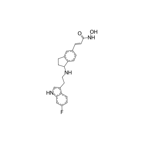 O=C(/C=C/c1ccc2c(c1)CCC2NCCc1c[nH]c2cc(F)ccc12)NO